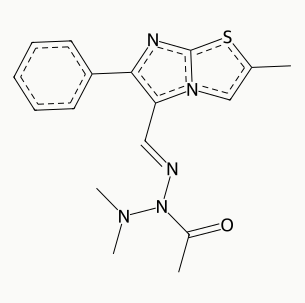 CC(=O)N(N=Cc1c(-c2ccccc2)nc2sc(C)cn12)N(C)C